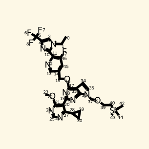 CCn1cc(C(F)(F)F)nc1-c1ncc(COc2nc(-c3c(OC)ncnc3C3CC3)nc3c2ccn3COCC[Si](C)(C)C)cc1F